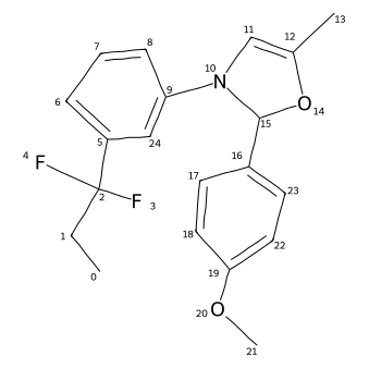 CCC(F)(F)c1cccc(N2C=C(C)OC2c2ccc(OC)cc2)c1